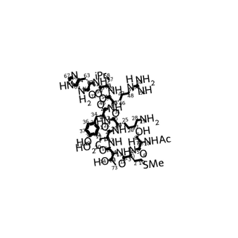 CSCC[C@H](NC(=O)[C@@H](CO)NC(C)=O)C(=O)N[C@H](C(=O)N[C@@H](CC(=O)O)C(=O)N[C@@H](CCCCN)C(=O)N[C@@H](Cc1ccc(O)cc1)C(=O)N[C@@H](CCCNC(=N)N)C(=O)N[C@@H](CC(C)C)C(=O)N[C@@H](Cc1c[nH]cn1)C(N)=O)[C@@H](C)O